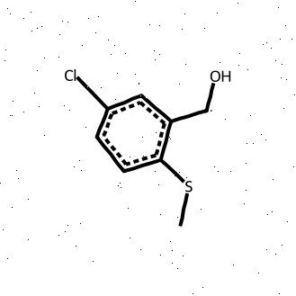 CSc1ccc(Cl)cc1[CH]O